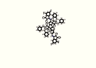 O=C1C(=O)c2c(F)cc(F)cc2/C1=C/C1=CC2=C(c3sc4cc(/C=C5\C(=O)C(=O)c6c(F)cc(F)cc65)sc4c3C2(C(=O)OCc2ccccc2)C(=O)OCc2ccccc2)C1(C(=O)OCc1ccccc1)C(=O)OCc1ccccc1